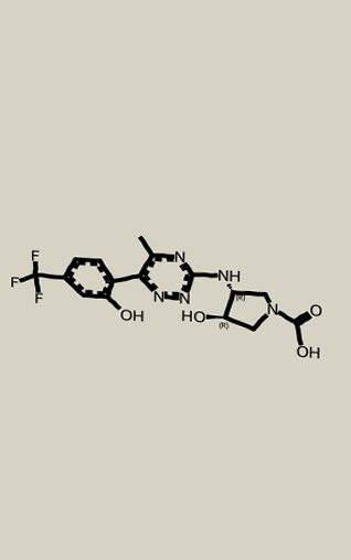 Cc1nc(N[C@@H]2CN(C(=O)O)C[C@H]2O)nnc1-c1ccc(C(F)(F)F)cc1O